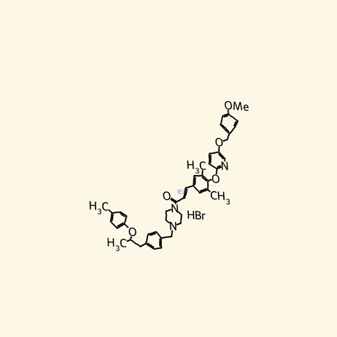 Br.COc1ccc(COc2ccc(Oc3c(C)cc(/C=C/C(=O)N4CCN(Cc5ccc(CC(C)Oc6ccc(C)cc6)cc5)CC4)cc3C)nc2)cc1